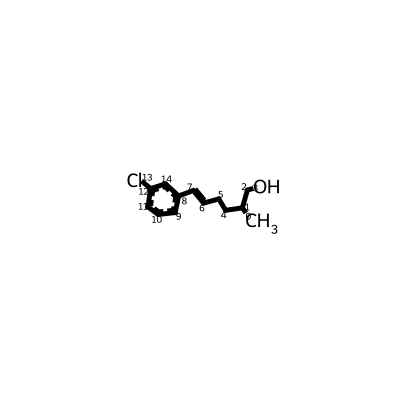 CC(CO)CC/C=C/c1cccc(Cl)c1